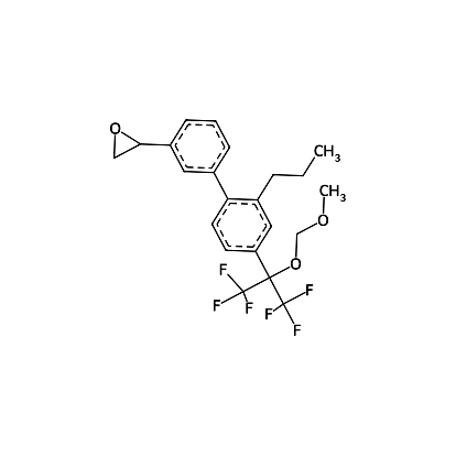 CCCc1cc(C(OCOC)(C(F)(F)F)C(F)(F)F)ccc1-c1cccc(C2CO2)c1